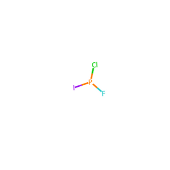 FP(Cl)I